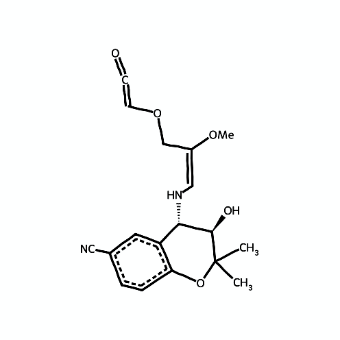 CO/C(=C/N[C@H]1c2cc(C#N)ccc2OC(C)(C)[C@@H]1O)COC=C=O